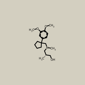 COc1ccc(C2(CN(C)C[C@@H](C)CO)CCCC2)cc1OC